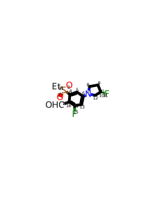 CCS(=O)(=O)c1cc(N2CC[C@@H](F)C2)cc(F)c1C=O